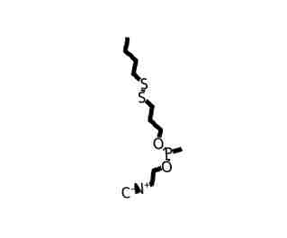 [C-]#[N+]CCOP(C)OCCCSSCCCC